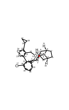 N/C(=N\O)N1[C@@H]2CC[C@H]1C[C@@H](OCc1c(-c3c(Cl)cccc3Cl)noc1C1CC1)C2